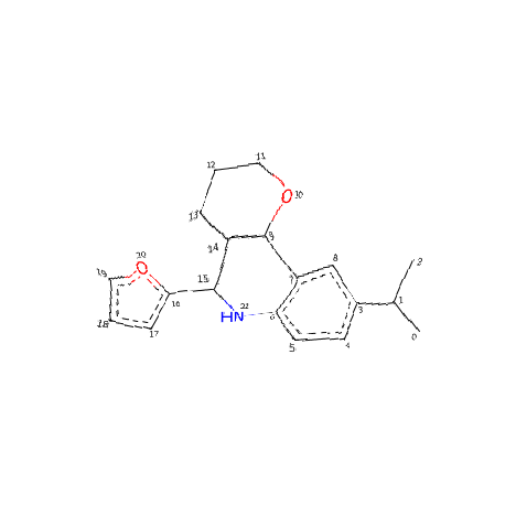 CC(C)c1ccc2c(c1)C1OCCCC1C(c1ccco1)N2